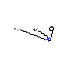 CCCCCCCCCCCCCCCCn1cc[n+](CCCc2ccccc2)c1CCCCCCC